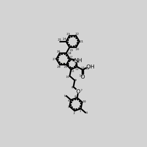 Cc1ccc(C)c(OCCCc2c(C(=O)O)[nH]c3c(-c4ccccc4C)cccc23)c1